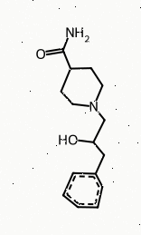 NC(=O)C1CCN(CC(O)Cc2ccccc2)CC1